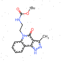 Cc1n[nH]c2c1c(=O)n(CCNC(=O)OC(C)(C)C)c1ccccc21